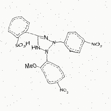 COc1cc([N+](=O)[O-])ccc1N1NC(c2ccccc2S(=O)(=O)O)=NN1c1ccc([N+](=O)[O-])cc1